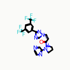 O=C(/C=C\n1cnc(-c2cc(C(F)(F)F)cc(C(F)(F)F)c2)n1)N1CCCN1c1cnccn1